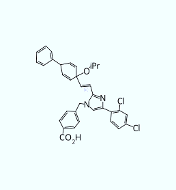 CC(C)OC1(/C=C/c2nc(-c3ccc(Cl)cc3Cl)cn2Cc2ccc(C(=O)O)cc2)C=CC(c2ccccc2)C=C1